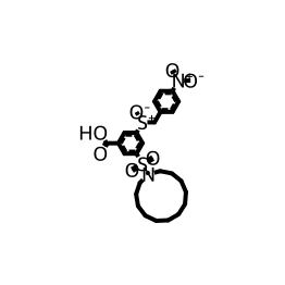 O=C(O)c1cc([S+]([O-])Cc2ccc([N+](=O)[O-])cc2)cc(S(=O)(=O)N2CCCCCCCCCCCC2)c1